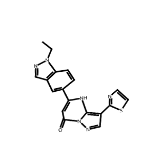 CCn1ncc2cc(-c3cc(=O)n4ncc(-c5nccs5)c4[nH]3)ccc21